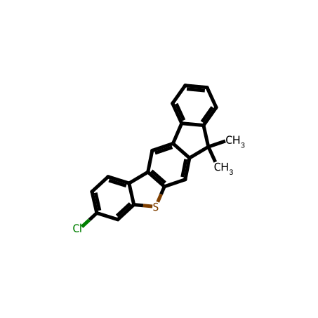 CC1(C)c2ccccc2-c2cc3c(cc21)sc1cc(Cl)ccc13